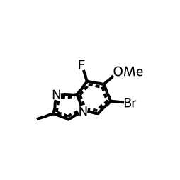 COc1c(Br)cn2cc(C)nc2c1F